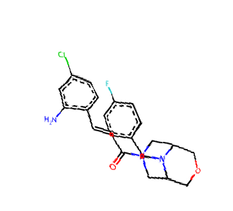 Nc1cc(Cl)ccc1C=CC(=O)N1CC2COCC(C1)N2Cc1ccc(F)cc1